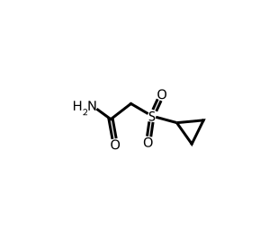 NC(=O)CS(=O)(=O)C1CC1